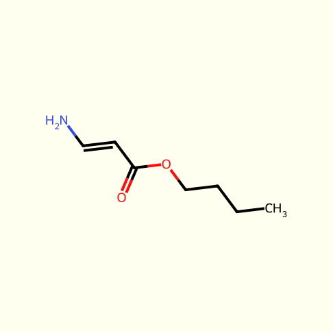 CCCCOC(=O)C=CN